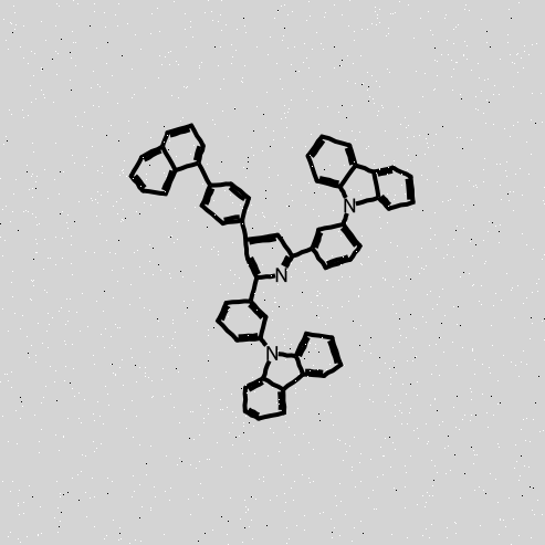 c1cc(-c2cc(-c3ccc(-c4cccc5ccccc45)cc3)cc(-c3cccc(-n4c5ccccc5c5ccccc54)c3)n2)cc(-n2c3ccccc3c3ccccc32)c1